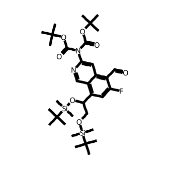 CC(C)(C)OC(=O)N(C(=O)OC(C)(C)C)c1cc2c(C=O)c(F)cc(C(CO[Si](C)(C)C(C)(C)C)O[Si](C)(C)C(C)(C)C)c2cn1